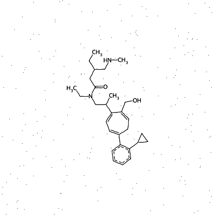 CCC(CNC)CC(=O)N(CC)CC(C)C1=CC=C(c2ccccc2C2CC2)CC=C1CO